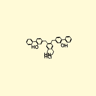 Cl.Oc1cc(Cc2cc3c(cc2Cc2ccc(-c4ccccc4)c(O)c2)CNCC3)ccc1-c1ccccc1